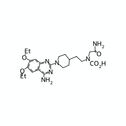 CCOc1cc2nc(N3CCC(CCN(CC(N)=O)C(=O)O)CC3)nc(N)c2cc1OCC